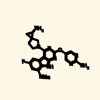 CNc1cc(F)cc2c1[nH]c1nc(Oc3cnc(N)nc3)nc(N3CCC4(CC4N)C3)c12